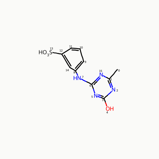 Cc1nc(O)nc(Nc2cccc(S(=O)(=O)O)c2)n1